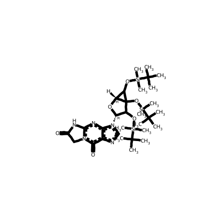 CC(C)(C)[Si](C)(C)OC1[C@H](n2cnc3c(=O)n4c(nc32)NC(=O)C4)O[C@@H]2C(O[Si](C)(C)C(C)(C)C)C12O[Si](C)(C)C(C)(C)C